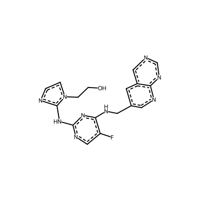 OCCn1ccnc1Nc1ncc(F)c(NCc2cnc3ncncc3c2)n1